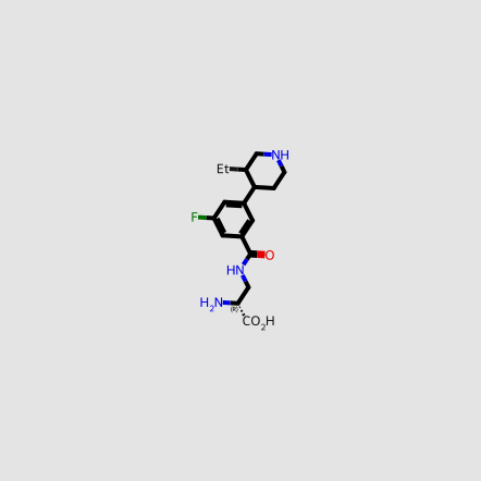 CCC1CNCCC1c1cc(F)cc(C(=O)NC[C@@H](N)C(=O)O)c1